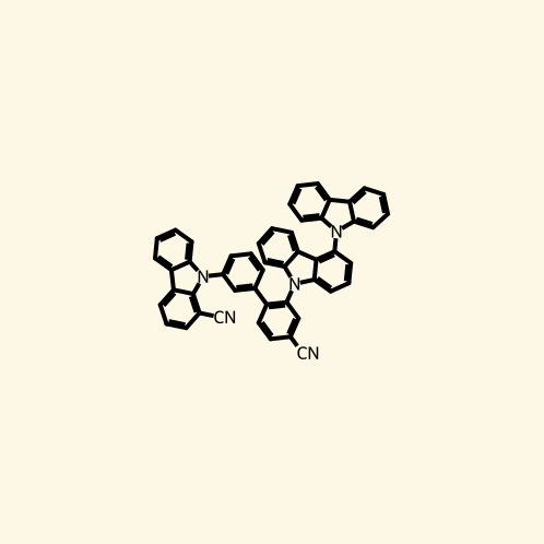 N#Cc1ccc(-c2cccc(-n3c4ccccc4c4cccc(C#N)c43)c2)c(-n2c3ccccc3c3c(-n4c5ccccc5c5ccccc54)cccc32)c1